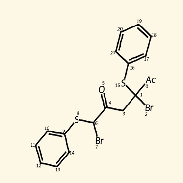 CC(=O)C(Br)(CC(=O)C(Br)Sc1ccccc1)Sc1ccccc1